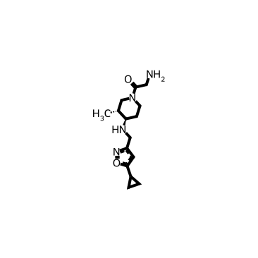 C[C@@H]1CN(C(=O)CN)CC[C@H]1NCc1cc(C2CC2)on1